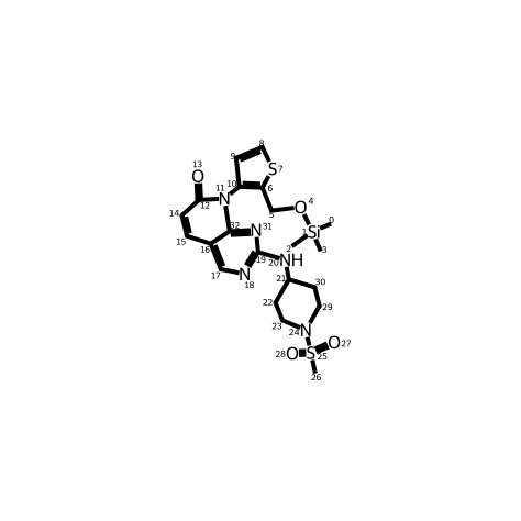 C[Si](C)(C)OCc1sccc1-n1c(=O)ccc2cnc(NC3CCN(S(C)(=O)=O)CC3)nc21